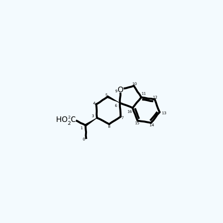 CC(C(=O)O)[C@H]1CC[C@@]2(CC1)OCc1ccccc12